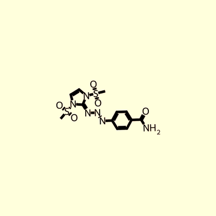 CS(=O)(=O)n1ccn(S(C)(=O)=O)c1=NN=Nc1ccc(C(N)=O)cc1